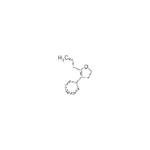 C=CCC1=C(c2ccccc2)CCO1